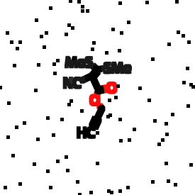 C#CCOC(=O)C(C#N)=C(SC)SC